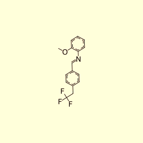 COc1ccccc1N=Cc1ccc(CC(F)(F)F)cc1